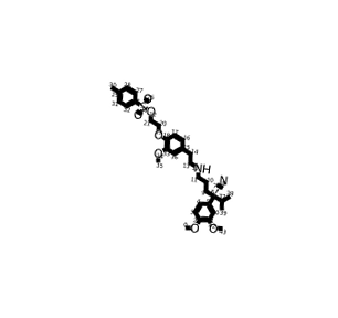 COc1ccc([C@@](C#N)(CCCNCCc2ccc(OCCOS(=O)(=O)c3ccc(C)cc3)c(OC)c2)C(C)C)cc1OC